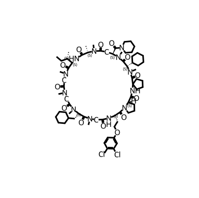 CC[C@H](C)[C@@H]1NC(=O)[C@H](C)N(C)C(=O)C[C@@H](C(=O)N2CCCCC2)N(C)C(=O)[C@H](C2CCCCC2)N(C)C(=O)C2(CCCC2)NC(=O)[C@@H]2CCCN2C(=O)[C@H](CCOc2ccc(Cl)c(Cl)c2)NC(=O)CN(C)C(=O)[C@H](CC2CCCCC2)N(C)C(=O)CN(C)C(=O)CN(C)C1=O